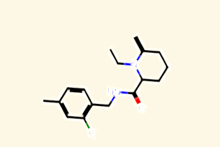 C=C1CCCC(C(=O)NCc2ccc(C)cc2Cl)N1CC